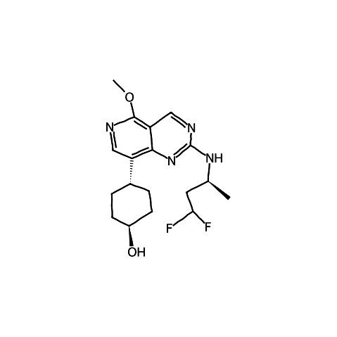 COc1ncc([C@H]2CC[C@H](O)CC2)c2nc(N[C@@H](C)CC(F)F)ncc12